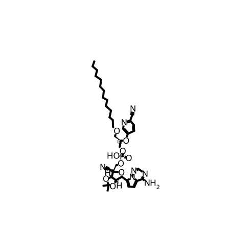 CCCCCCCCCCCCCCOC[C@H](COP(=O)(O)OC[C@@]1(C#N)OC(c2ccc3c(N)ncnn23)[C@@H]2OC(C)(C)O[C@@H]21)Oc1ccc(C#N)nc1